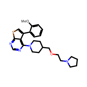 COc1ccccc1-c1csc2ncnc(N3CCC(COCCN4CCCC4)CC3)c12